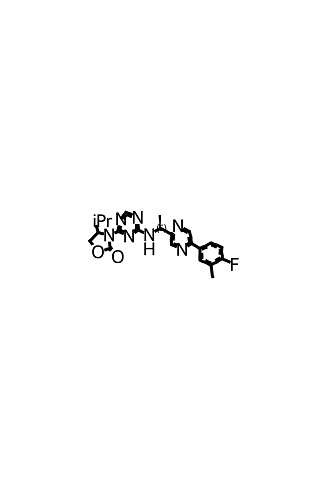 Cc1cc(-c2cnc([C@H](C)Nc3ncnc(N4C(=O)OCC4C(C)C)n3)cn2)ccc1F